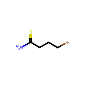 NC(=S)CCCBr